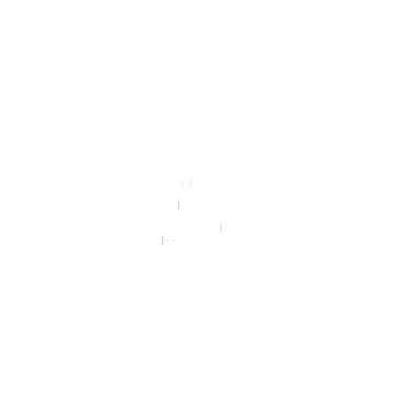 Cl.Cl.[InH3].[LiH]